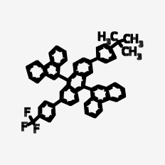 CC(C)(C)c1ccc(-c2ccc3c(-c4cc5ccccc5c5ccccc45)c4cc(-c5ccc(C(F)(F)F)cc5)ccc4c(-c4cc5ccccc5c5ccccc45)c3c2)cc1